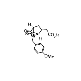 COc1ccc(CN2C(=O)[C@H]3C[C@@H](CC(=O)O)[C@@H]2[C@@H]3Br)cc1